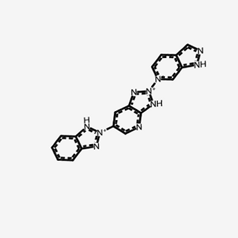 c1ccc2[nH][n+](-c3cnc4[nH][n+](-[n+]5ccc6cn[nH]c6c5)nc4c3)nc2c1